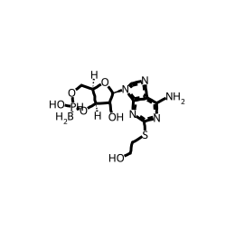 B[PH]1(O)OC[C@H]2O[C@@H](n3cnc4c(N)nc(SCCO)nc43)C(O)[C@H]2O1